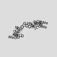 COC(=O)NC(C(=O)N1[C@@H](C)CC[C@H]1c1ncc(-c2ccc3c(c2)COc2cc4c(ccc5nc([C@@H]6CC[C@H](C)N6C(=O)[C@@H](NC(=O)OC)[C@@H](C)OC)[nH]c54)cc2-3)[nH]1)C1CCOCC1